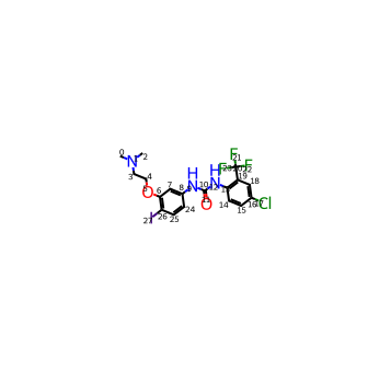 CN(C)CCOc1cc(NC(=O)Nc2ccc(Cl)cc2C(F)(F)F)ccc1I